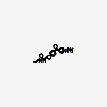 CCCNC(=O)CCOc1ccc(C(=O)c2ccc(/N=N/N(C)C)cc2)cc1